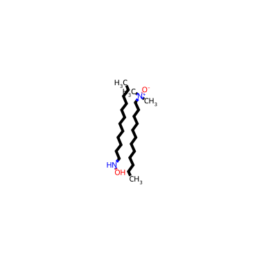 CCCCCCCCCCCCNO.CCCCCCCCCCCC[N+](C)(C)[O-]